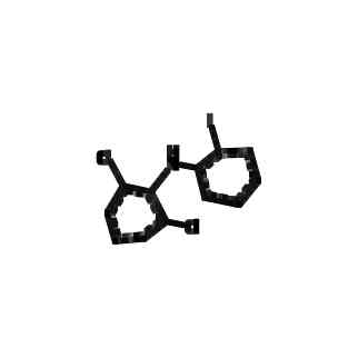 Clc1cccc(Cl)c1Nc1ccccc1I